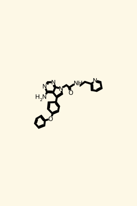 Nc1ncnc2c1c(-c1ccc(Oc3ccccc3)cc1)cn2CC(=O)NCCc1ccccn1